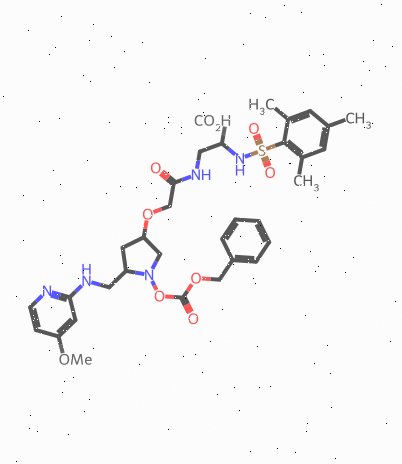 COc1ccnc(NCC2CC(OCC(=O)NCC(NS(=O)(=O)c3c(C)cc(C)cc3C)C(=O)O)CN2OC(=O)OCc2ccccc2)c1